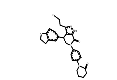 O=C1CCCCN1c1ccc(N2CC(c3ccc4c(c3)CCO4)c3c(CCF)n[nH]c3C2=O)cc1